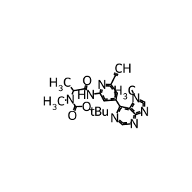 C#Cc1cc(-c2ncnc3ncn(C)c23)cc(NC(=O)C(C)N(C)C(=O)OC(C)(C)C)n1